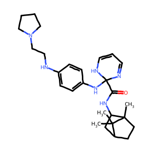 CC1(C)C2CCC1(C)C(NC(=O)C1(Nc3ccc(NCCN4CCCC4)cc3)N=CC=CN1)C2